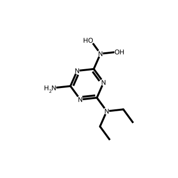 CCN(CC)c1nc(N)nc(N(O)O)n1